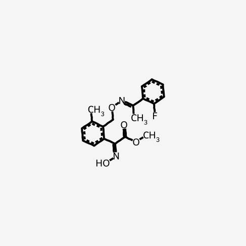 COC(=O)/C(=N/O)c1cccc(C)c1CO/N=C(\C)c1ccccc1F